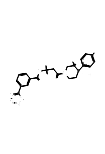 CC(C)(CC(=O)N1CC[C@](O)(c2ccc(Cl)cc2)C(C)(C)C1)NC(=O)c1cccc(-c2nn[nH]n2)c1